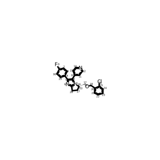 Fc1ccc(-c2nc3n(c2-c2ccncc2)[C@H](COCc2ccccc2Cl)CC3)cc1